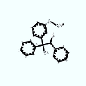 CCC(c1ccccc1)C(P)(c1ccccc1)c1ccccc1.O=C(O)O